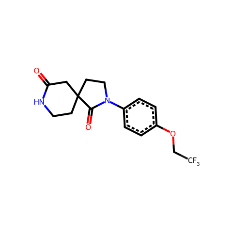 O=C1CC2(CCN1)CCN(c1ccc(OCC(F)(F)F)cc1)C2=O